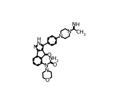 CC(=N)N1CCN(c2ccc(-c3[nH]nc4c3C(=O)c3c-4cccc3N(C(N)=O)N3CCOCC3)cc2)CC1